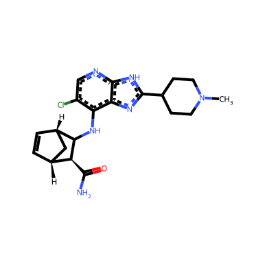 CN1CCC(c2nc3c(NC4[C@@H](C(N)=O)[C@@H]5C=C[C@H]4C5)c(Cl)cnc3[nH]2)CC1